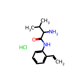 C=Cc1ccccc1NC(=O)C(N)C(C)C.Cl